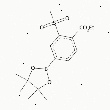 CCOC(=O)c1ccc(B2OC(C)(C)C(C)(C)O2)cc1S(C)(=O)=O